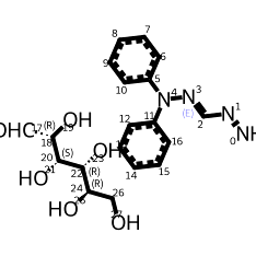 N=N/C=N/N(c1ccccc1)c1ccccc1.O=C[C@H](O)[C@@H](O)[C@H](O)[C@H](O)CO